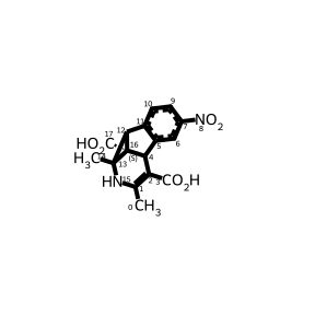 CC1=C(C(=O)O)C2c3cc([N+](=O)[O-])ccc3C3C(C)(N1)[C@]23C(=O)O